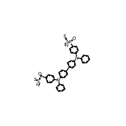 O=P(c1ccc(N(c2ccccc2)c2ccc(-c3ccc(N(c4ccccc4)c4ccc(P(=O)=[SH](=S)I)cc4)cc3)cc2)cc1)=[SH](=S)I